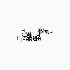 CC(C)c1cnnc(Nc2ccc3ncc(-c4cnn(CC5CNC5)c4)cc3n2)c1